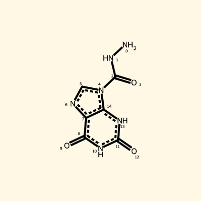 NNC(=O)n1cnc2c(=O)[nH]c(=O)[nH]c21